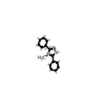 Cn1c(-c2ccccc2)nnc1-c1ccccc1